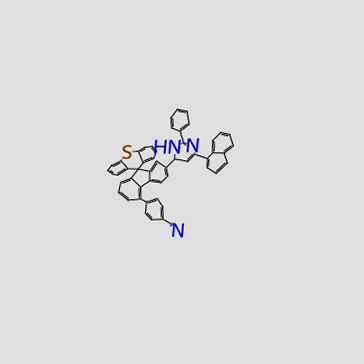 N#Cc1ccc(-c2cccc3c2-c2ccc(C4C=C(c5cccc6ccccc56)N=C(c5ccccc5)N4)cc2C32c3ccccc3Sc3ccccc32)cc1